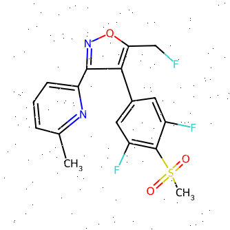 Cc1cccc(-c2noc(CF)c2-c2cc(F)c(S(C)(=O)=O)c(F)c2)n1